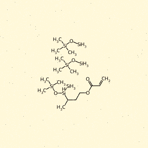 C=CC(=O)OCCC(C)[SiH]([SiH3])O[Si](C)(C)C.C[Si](C)(C)O[SiH3].C[Si](C)(C)O[SiH3]